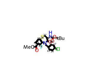 COC(=O)c1ccc2c(c1F)N(Cc1ccc(Cl)cc1)C(=O)[C@@H](NC(=O)OC(C)(C)C)CS2